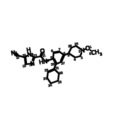 CON1CCC(c2ccc(NC(=O)c3ncc(C#N)[nH]3)c(C3=CCCCC3)c2)CC1